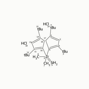 CC(C)(C)C1=CC(C(C)(C)C)=[C]([Zr]([CH3])([CH3])(=[SiH2])[C]2=C(C(C)(C)C)C=C(C(C)(C)C)C2)C1.Cl.Cl